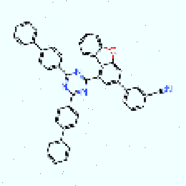 N#Cc1cccc(-c2cc(-c3nc(-c4ccc(-c5ccccc5)cc4)nc(-c4ccc(-c5ccccc5)cc4)n3)c3c(c2)oc2ccccc23)c1